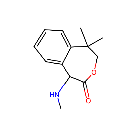 CNC1C(=O)OCC(C)(C)c2ccccc21